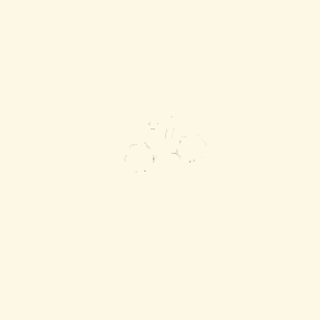 CCC(C)(C)c1ccc2c(c1)-c1ccccc1[PH](=O)O2